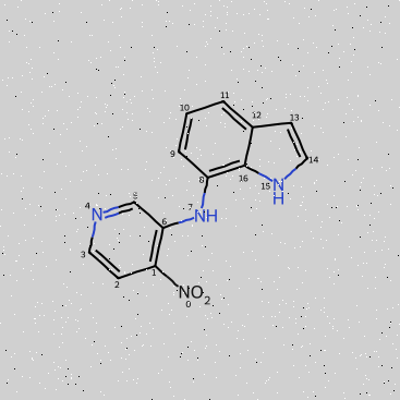 O=[N+]([O-])c1ccncc1Nc1cccc2cc[nH]c12